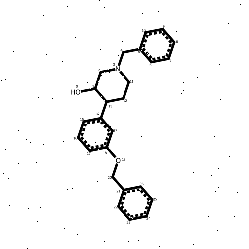 OC1CN(Cc2ccccc2)CCC1c1cccc(OCc2ccccc2)c1